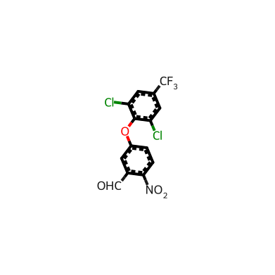 O=Cc1cc(Oc2c(Cl)cc(C(F)(F)F)cc2Cl)ccc1[N+](=O)[O-]